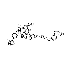 Cc1ncsc1-c1ccc(CNC(=O)[C@@H]2C[C@@H](O)CN2C(=O)[C@@H](NC(=O)COCCOCCOc2cccc(C(=O)O)c2)C(C)(C)C)cc1